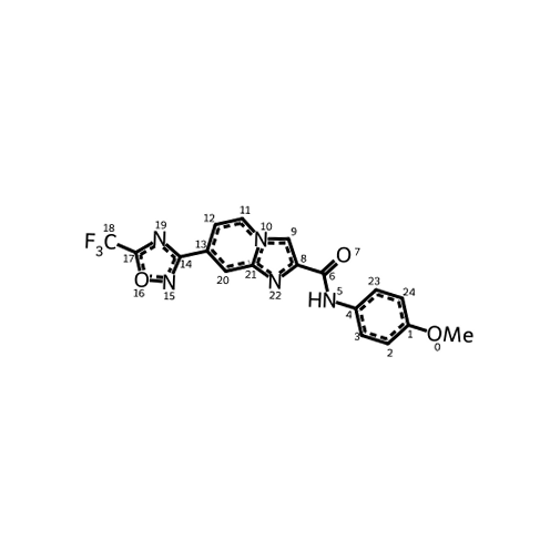 COc1ccc(NC(=O)c2cn3ccc(-c4noc(C(F)(F)F)n4)cc3n2)cc1